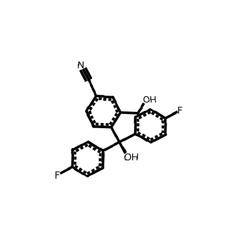 N#Cc1ccc(C(O)(c2ccc(F)cc2)c2ccc(F)cc2)c(CO)c1